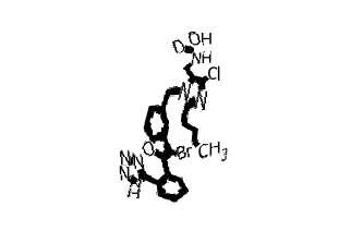 CCCCc1nc(Cl)c(CNC(=O)O)n1Cc1ccc2oc(-c3ccccc3-c3nnn[nH]3)c(Br)c2c1